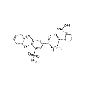 C[C@H](NC(=O)c1cc(N)c(Oc2ccccc2)c(S(N)(=O)=O)c1)C(=O)N1CCC[C@H]1C(=O)O